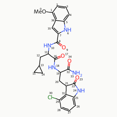 COc1cccc2[nH]c(C(=O)NC(CC3CC3)C(=O)NC(CC3C(=O)Nc4cccc(Cl)c43)C(N)=O)cc12